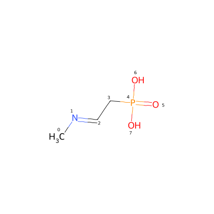 CN=CCP(=O)(O)O